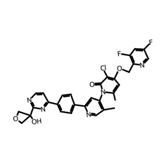 Cc1cnc(-c2ccc(-c3ccnc(C4(O)COC4)n3)cc2)cc1-n1c(C)cc(OCc2ncc(F)cc2F)c(Cl)c1=O